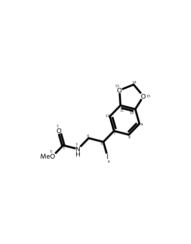 COC(=O)NCC(I)c1ccc2c(c1)OCO2